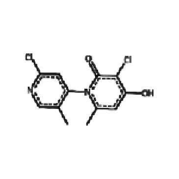 Cc1cnc(Cl)cc1-n1c(C)cc(O)c(Cl)c1=O